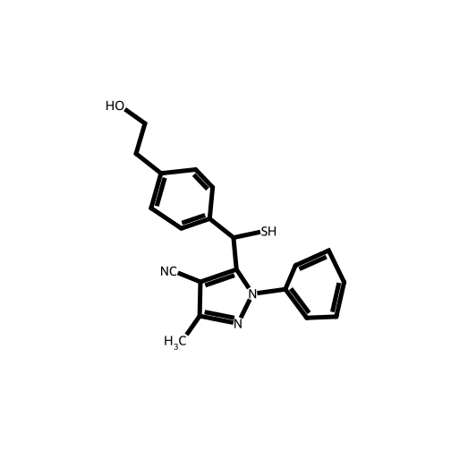 Cc1nn(-c2ccccc2)c(C(S)c2ccc(CCO)cc2)c1C#N